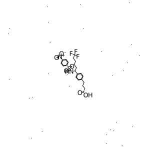 O=C(O)CCCc1ccc(C(CCCCC(F)(F)F)NS(=O)(=O)c2ccc([N+](=O)[O-])cc2)cc1